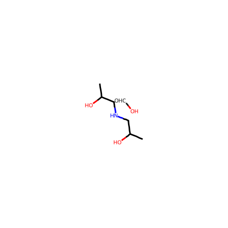 CC(O)CNCC(C)O.O=CO